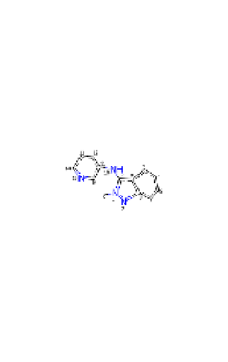 Cn1nc2ccccc2c1Nc1cccnc1